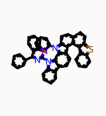 c1ccc(-c2nc(-n3c4ccccc4c4ccc5c6c7c(ccc8sc9ccccc9c87)ccc6n(-c6ccccc6)c5c43)nc3ccccc23)cc1